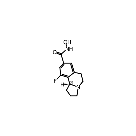 O=C(NO)c1cc(F)c2c(c1)CCN1CCC[C@H]21